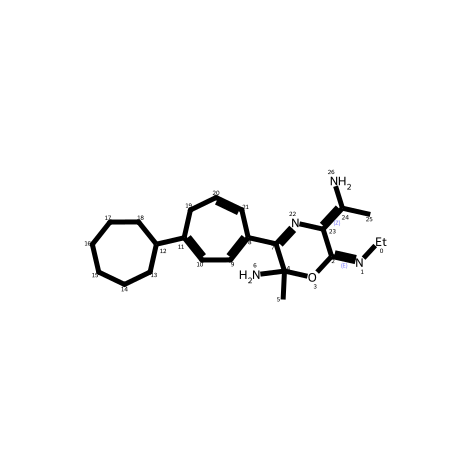 CC/N=C1/OC(C)(N)C(C2=CC=C(C3CCCCCC3)CC=C2)=N/C1=C(/C)N